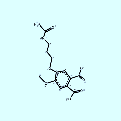 BC(=O)NCCCOc1cc([N+](=O)[O-])c(C(=O)O)cc1OC